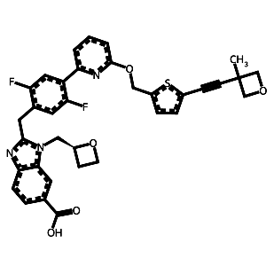 CC1(C#Cc2ccc(COc3cccc(-c4cc(F)c(Cc5nc6ccc(C(=O)O)cc6n5C[C@@H]5CCO5)cc4F)n3)s2)COC1